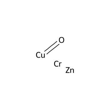 [Cr].[O]=[Cu].[Zn]